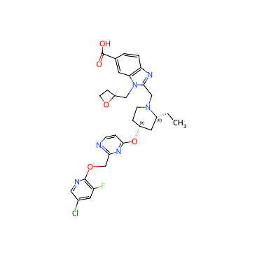 CC[C@@H]1C[C@H](Oc2ccnc(COc3ncc(Cl)cc3F)n2)CCN1Cc1nc2ccc(C(=O)O)cc2n1CC1CCO1